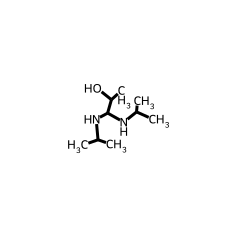 CC(C)NC(NC(C)C)C(C)O